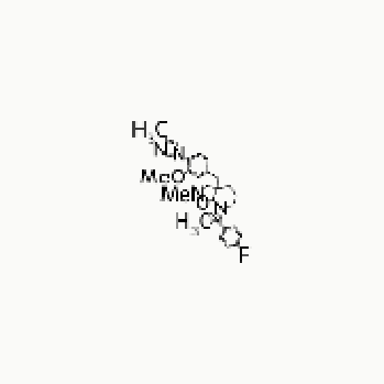 CNCC1(Cc2ccc(-n3cnc(C)c3)c(OC)c2)CCCN([C@@H](C)c2ccc(F)cc2)C1=O